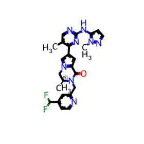 Cc1cnc(Nc2ccnn2C)nc1-c1cc2n(c1)C[C@H](C)N(Cc1cc(C(F)F)ccn1)C2=O